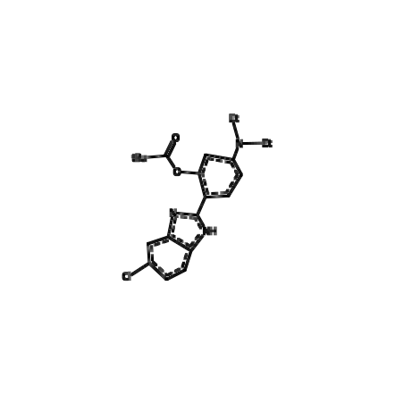 CCN(CC)c1ccc(-c2nc3cc(Cl)ccc3[nH]2)c(OC(=O)C(C)(C)C)c1